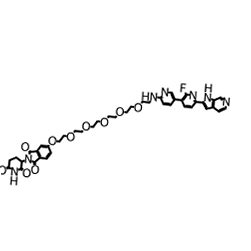 O=C1CCC(N2C(=O)c3ccc(OCCOCCOCCOCCOCCOCCNc4ccc(-c5ccc(-c6cc7ccncc7[nH]6)nc5F)cn4)cc3C2=O)C(=O)N1